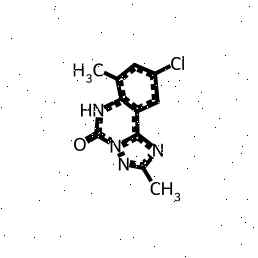 Cc1nc2c3cc(Cl)cc(C)c3[nH]c(=O)n2n1